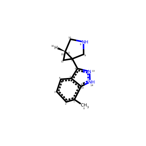 Cc1cccc2c(C34CNC[C@H]3C4)n[nH]c12